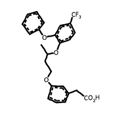 CC(CCOc1cccc(CC(=O)O)c1)Oc1ccc(C(F)(F)F)cc1Oc1ccccc1